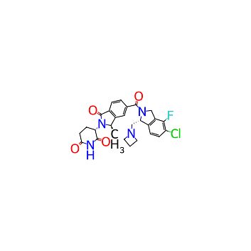 C[C@@H]1c2cc(C(=O)N3Cc4c(ccc(Cl)c4F)[C@@H]3CN3CCC3)ccc2C(=O)N1[C@H]1CCC(=O)NC1=O